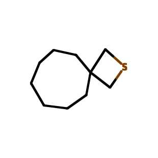 C1CCCC2(CCC1)CSC2